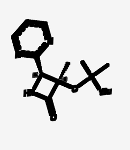 CC(C)(C)[Si](C)(C)O[C@@]1(C)C(=O)N[C@H]1c1ncccn1